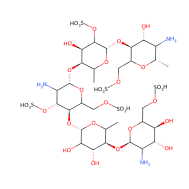 CC1O[C@@H](O[C@@H]2C(COS(=O)(=O)O)O[C@@H](O[C@@H]3C(C)O[C@@H](O[C@@H]4C(COS(=O)(=O)O)O[C@@H](C)C(N)[C@H]4O)C(OS(=O)(=O)O)[C@@H]3O)C(N)[C@H]2OS(=O)(=O)O)C(O)[C@@H](O)[C@@H]1O[C@H]1OC(COS(=O)(=O)O)[C@@H](O)[C@H](O)C1N